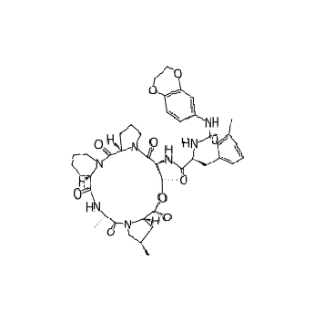 Cc1cccc(C[C@H](NC(=O)Nc2ccc3c(c2)OCCO3)C(=O)N[C@@H]2C(=O)N3CCC[C@H]3C(=O)N3CCCC[C@H]3C(=O)N[C@@H](C)C(=O)N3C[C@H](C)C[C@H]3C(=O)O[C@H]2C)c1